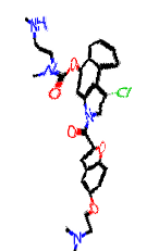 CNCCN(C)C(=O)Oc1cc2c(c3ccccc13)[C@H](Cl)CN2C(=O)c1cc2cc(OCCN(C)C)ccc2o1